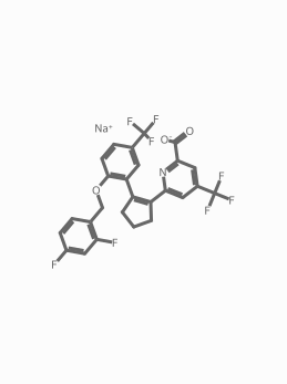 O=C([O-])c1cc(C(F)(F)F)cc(C2=C(c3cc(C(F)(F)F)ccc3OCc3ccc(F)cc3F)CCC2)n1.[Na+]